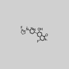 CN(c1ccc(-c2cc3c(F)cn(C)c(=O)c3cc2O)nn1)[C@@H]1CCC[C@@H]1F